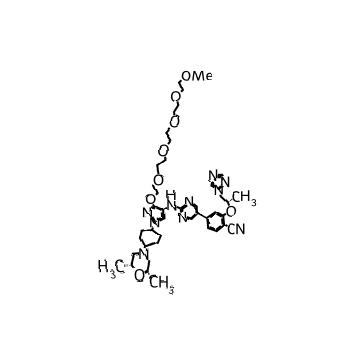 COCCOCCOCCOCCOCCOc1nn(C2CCC(N3C[C@@H](C)O[C@@H](C)C3)CC2)cc1Nc1ncc(-c2ccc(C#N)c(O[C@@H](C)Cn3cncn3)c2)cn1